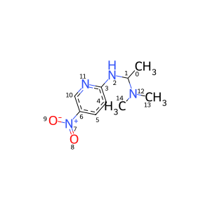 CC(Nc1ccc([N+](=O)[O-])cn1)N(C)C